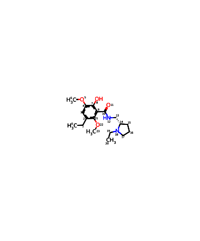 CCc1cc(OC)c(O)c(C(=O)NC[C@@H]2CCCN2CC)c1OC